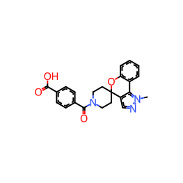 Cn1ncc2c1-c1ccccc1OC21CCN(C(=O)c2ccc(C(=O)O)cc2)CC1